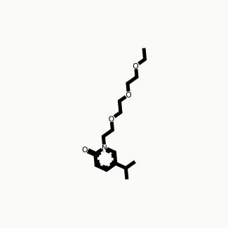 CCOCCOCCOCCn1cc(C(C)C)ccc1=O